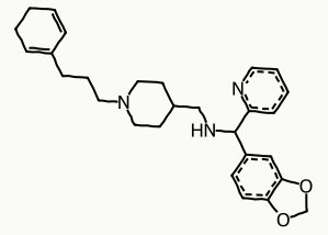 C1=CC(CCCN2CCC(CNC(c3ccc4c(c3)OCO4)c3ccccn3)CC2)=CCC1